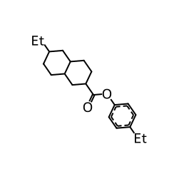 CCc1ccc(OC(=O)C2CCC3CC(CC)CCC3C2)cc1